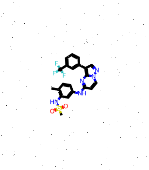 Cc1ccc(Nc2ccn3ncc(-c4cccc(C(F)(F)F)c4)c3n2)cc1NS(C)(=O)=O